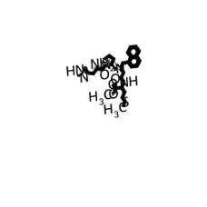 COC(=O)C(CCSC)NC(=O)CN(Cc1cccc2ccccc12)C[C@@H]1CCCN1C(=O)[C@H](N)Cc1c[nH]cn1